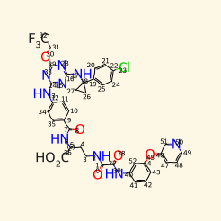 O=C(NCC[C@H](NC(=O)c1ccc(Nc2nc(NC3(c4ccc(Cl)cc4)CC3)nc(OCC(F)(F)F)n2)cc1)C(=O)O)C(=O)Nc1cccc(Oc2cccnc2)c1